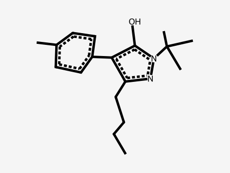 CCCCc1nn(C(C)(C)C)c(O)c1-c1ccc(C)cc1